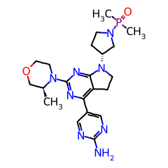 C[C@H]1COCCN1c1nc(-c2cnc(N)nc2)c2c(n1)N([C@@H]1CCN(P(C)(C)=O)C1)CC2